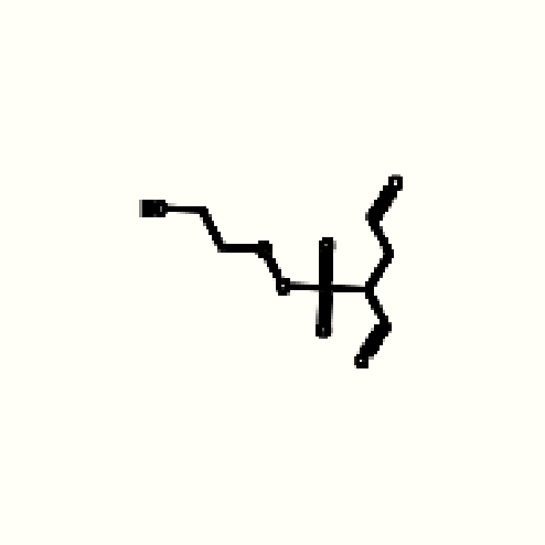 O=CCC(C=O)S(=O)(=O)OOCCO